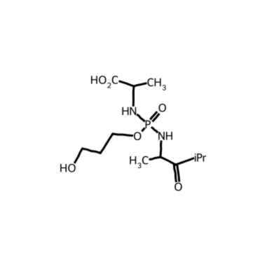 CC(C)C(=O)C(C)NP(=O)(NC(C)C(=O)O)OCCCO